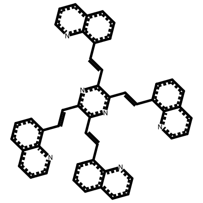 C(=C\c1cccc2cccnc12)/c1nc(/C=C/c2cccc3cccnc23)c(/C=C/c2cccc3cccnc23)nc1/C=C/c1cccc2cccnc12